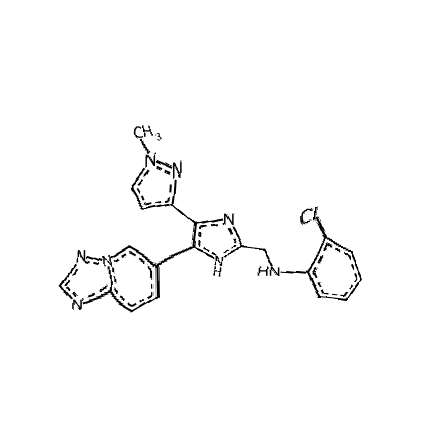 Cn1ccc(-c2nc(CNc3ccccc3Cl)[nH]c2-c2ccc3ncnn3c2)n1